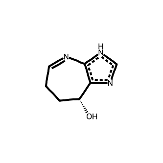 O[C@@H]1CCC=Nc2[nH]cnc21